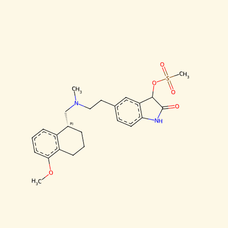 COc1cccc2c1CCC[C@H]2CN(C)CCc1ccc2c(c1)C(OS(C)(=O)=O)C(=O)N2